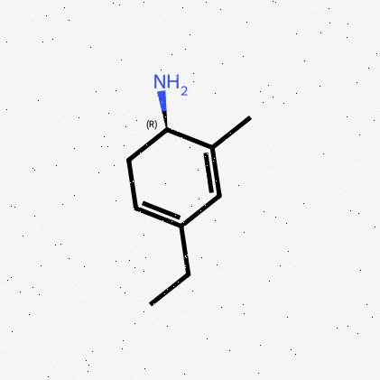 CCC1=CC[C@@H](N)C(C)=C1